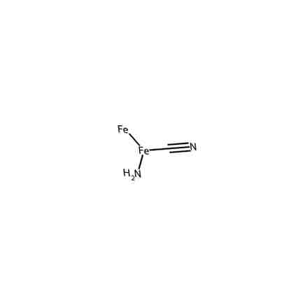 N#[C][Fe]([NH2])[Fe]